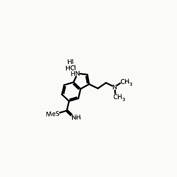 CSC(=N)c1ccc2[nH]cc(CCN(C)C)c2c1.Cl.I